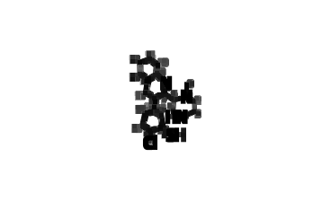 CN1CCNCC1c1nc2ccccc2cc1-c1ccc(Cl)c(S)c1